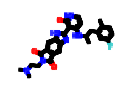 Cc1ccc(F)cc1CC(C)Nc1cc[nH]c(=O)c1-c1nc2cc3c(cc2[nH]1)C(=O)N(CCN(C)C)C3=O